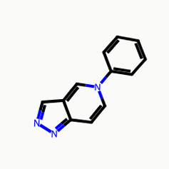 c1ccc(-n2ccc3nncc-3c2)cc1